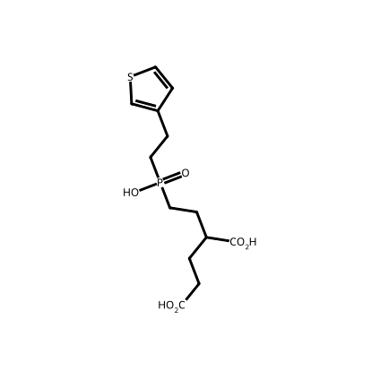 O=C(O)CCC(CCP(=O)(O)CCc1ccsc1)C(=O)O